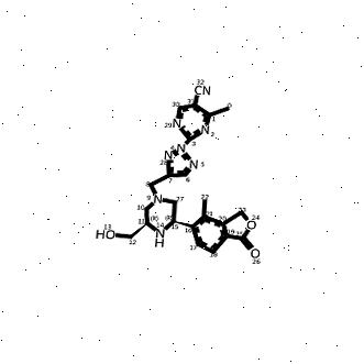 Cc1nc(-n2ncc(CN3C[C@H](CO)N[C@H](c4ccc5c(c4C)COC5=O)C3)n2)ncc1C#N